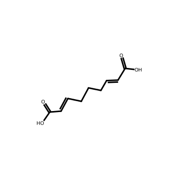 O=C(O)C=CCCCC=CC(=O)O